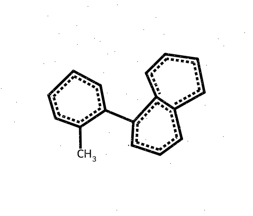 Cc1ccccc1-c1[c]ccc2ccccc12